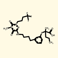 CCCC(C)(Sc1cccc(CCCCNc2nn(CCCC(F)(F)F)c(=O)n(C)c2=O)c1)C(=O)O